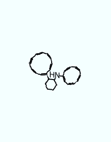 C1=C\C=C/C=C\C(C2CCCCC2Nc2ccccccccc2)=C/C=C\C=C/1